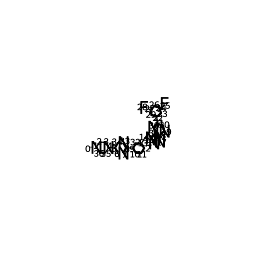 CN1CCN(c2cnc(-c3cccc(Cn4nnc5ncc(-c6cc(F)cc(F)c6)nc54)c3)nc2)CC1